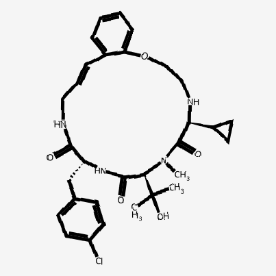 CN1C(=O)[C@H](C2CC2)NCCOc2ccccc2/C=C/CNC(=O)[C@@H](Cc2ccc(Cl)cc2)NC(=O)[C@@H]1C(C)(C)O